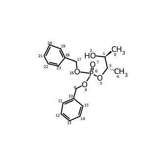 C[C@H](O)[C@H](C)OP(=O)(OCc1ccccc1)OCc1ccccc1